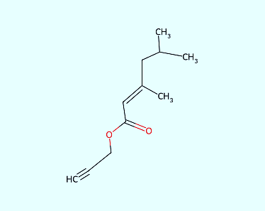 C#CCOC(=O)/C=C(\C)CC(C)C